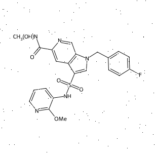 COc1ncccc1NS(=O)(=O)c1cn(Cc2ccc(F)cc2)c2cnc(C(=O)N(C)O)cc12